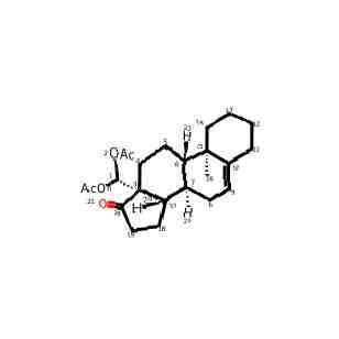 CC(=O)OC(OC(C)=O)[C@]12CC[C@H]3[C@@H](CC=C4CCCC[C@@]43C)[C@@H]1CCC2=O